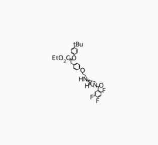 CCOC(=O)[C@H](Cc1ccc(OCCN[C@H]2C3CN(C(=O)c4cc(F)c(F)cc4F)C[C@@H]32)cc1)Oc1ccc(C(C)(C)C)cc1